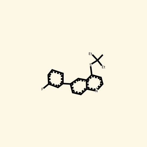 CCC(C)(CC)Sc1ccnc2ccc(-c3cccc(F)c3)cc12